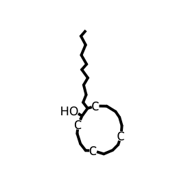 CCCCCCCCCCC1CCCCCCCCCCCCCCC1O